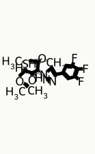 CO[C@H]1C[SH](C)[C@@H]2COC(C)(C)O[C@@H]2[C@H]1n1cc(-c2cc(F)c(F)c(F)c2)nn1